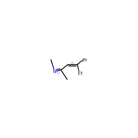 CC/C(=C\C(C)=N/C)C(C)C